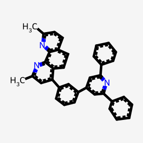 Cc1ccc2ccc3c(-c4cccc(-c5cc(-c6ccccc6)nc(-c6ccccc6)c5)c4)cc(C)nc3c2n1